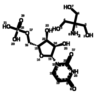 NC(CO)(CO)CO.O=c1ccn([C@@H]2O[C@H](COP(=O)(O)O)[C@@H](O)[C@H]2O)c(=O)[nH]1